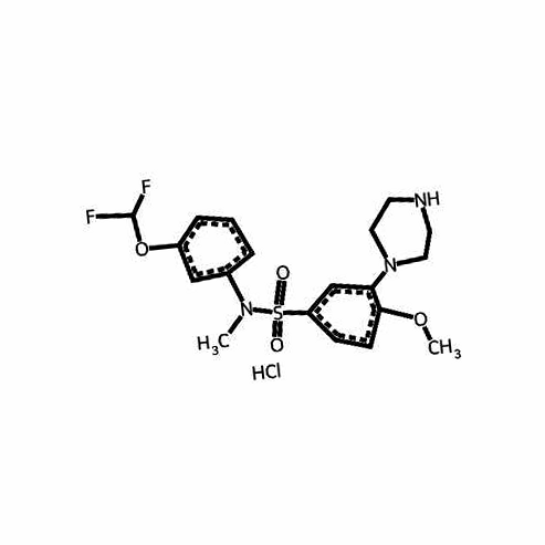 COc1ccc(S(=O)(=O)N(C)c2cccc(OC(F)F)c2)cc1N1CCNCC1.Cl